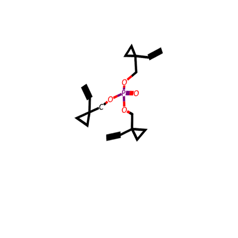 C#CC1(COP(=O)(OCC2(C#C)CC2)OCC2(C#C)CC2)CC1